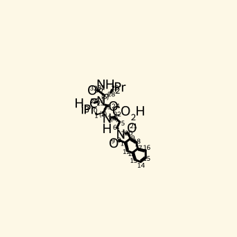 CC(C)C[C@H](N[C@H](CCN1C(=O)c2cc3ccccc3cc2C1=O)C(=O)O)C(=O)N(C)[C@@H](CC(C)C)C(N)=O